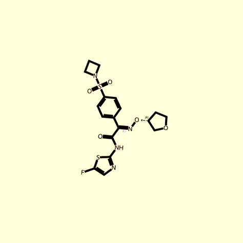 O=C(Nc1ncc(F)s1)/C(=N/O[C@@H]1CCOC1)c1ccc(S(=O)(=O)N2CCC2)cc1